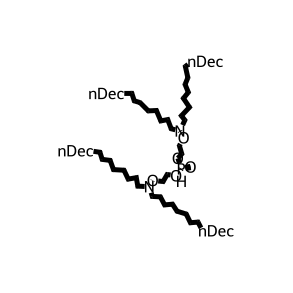 CCCCCCCCCCCCCCCCCCN(CCCCCCCCCCCCCCCCCC)OCCO[PH](=O)OCCON(CCCCCCCCCCCCCCCCCC)CCCCCCCCCCCCCCCCCC